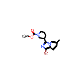 Cc1ccc2c(Br)nc(C3CCCN(C(=O)OC(C)(C)C)C3)n2c1